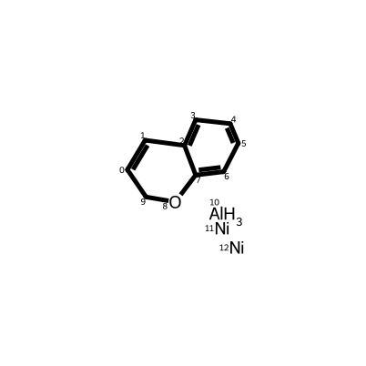 C1=Cc2ccccc2OC1.[AlH3].[Ni].[Ni]